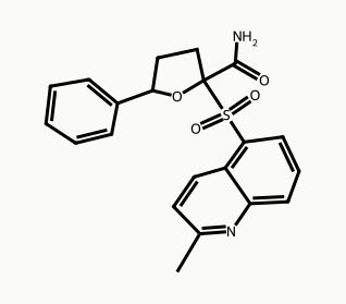 Cc1ccc2c(S(=O)(=O)C3(C(N)=O)CCC(c4ccccc4)O3)cccc2n1